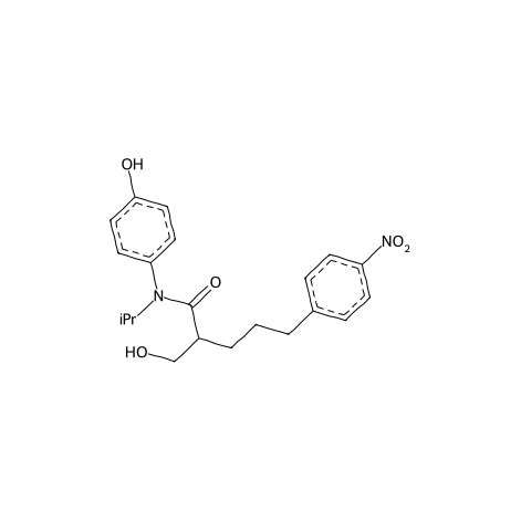 CC(C)N(C(=O)C(CO)CCCc1ccc([N+](=O)[O-])cc1)c1ccc(O)cc1